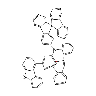 c1cc(-c2cccc3sc4ccccc4c23)cc(N(c2ccc3c(c2)C2(c4ccccc4-c4ccccc42)c2ccccc2-3)c2ccccc2-c2ccc3ccccc3c2)c1